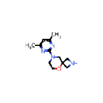 Cc1cc(C)nc(N2CCOC3(CNC3)C2)n1